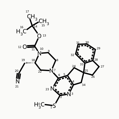 CSc1nc2c(c(N3CCN(C(=O)OC(C)(C)C)[C@@H](CC#N)C3)n1)CC1(CCc3ccccc31)C2